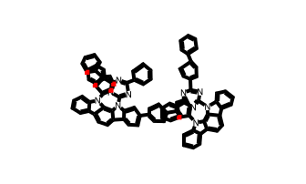 c1ccc(-c2ccc(-c3nc(-c4ccccc4)nc(-n4c5ccccc5c5ccc6c7ccccc7n(-c7cccc(-c8ccc(-c9ccc%10c%11ccc%12c%13ccccc%13n(-c%13cccc(-c%14ccccc%14)c%13)c%12c%11n(-c%11nc(-c%12ccccc%12)nc(-c%12ccccc%12)n%11)c%10c9)cc8)c7)c6c54)n3)cc2)cc1